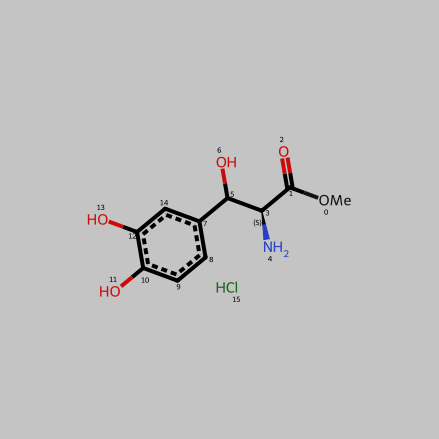 COC(=O)[C@@H](N)C(O)c1ccc(O)c(O)c1.Cl